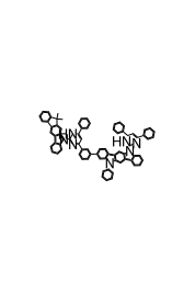 CC1(C)c2ccccc2-c2cc3c4ccccc4n(C4N=C(c5cccc(-c6ccc7c8cc9c(cc8n(-c8ccccc8)c7c6)c6ccccc6n9C6=NC(c7ccccc7)=CC(c7ccccc7)N6)c5)C=C(c5ccccc5)N4)c3cc21